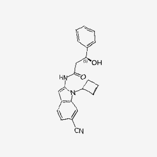 N#Cc1ccc2cc(NC(=O)C[C@H](O)c3ccccc3)n(C3CCC3)c2c1